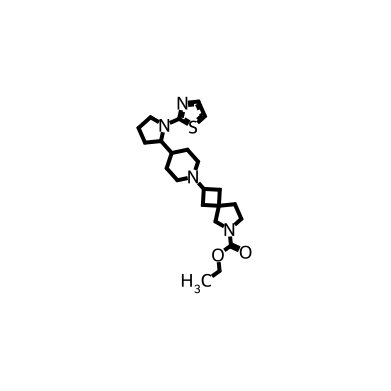 CCOC(=O)N1CCC2(CC(N3CCC(C4CCCN4c4nccs4)CC3)C2)C1